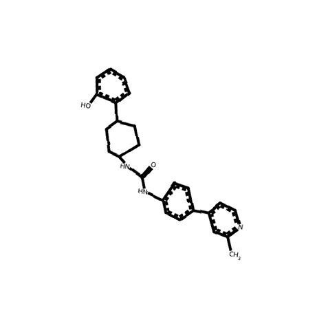 Cc1cc(-c2ccc(NC(=O)NC3CCC(c4ccccc4O)CC3)cc2)ccn1